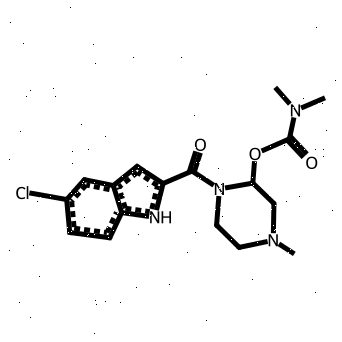 CN1CCN(C(=O)c2cc3cc(Cl)ccc3[nH]2)C(OC(=O)N(C)C)C1